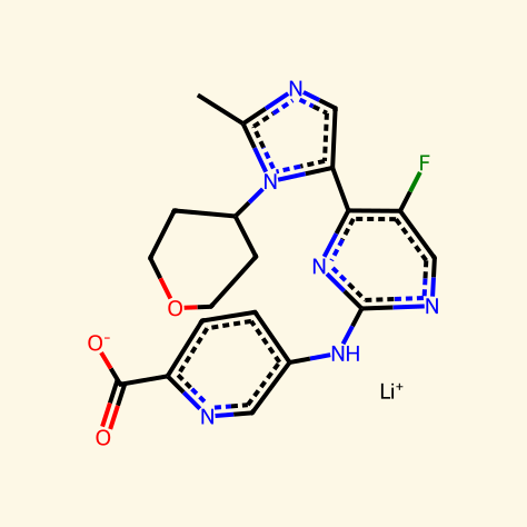 Cc1ncc(-c2nc(Nc3ccc(C(=O)[O-])nc3)ncc2F)n1C1CCOCC1.[Li+]